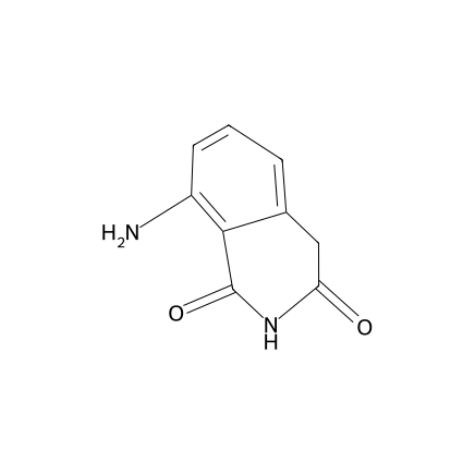 Nc1cccc2c1C(=O)NC(=O)C2